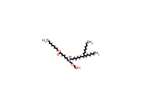 CCCCCCCCCOC(=O)CCCCCCN(CCOCCO)C(=O)CCCCCCCC(CCCCCC)CCCCCCCC